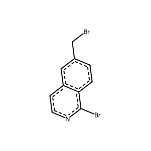 BrCc1ccc2c(Br)nccc2c1